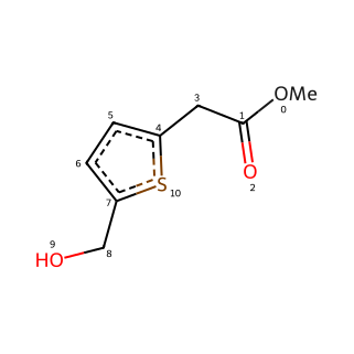 COC(=O)Cc1ccc(CO)s1